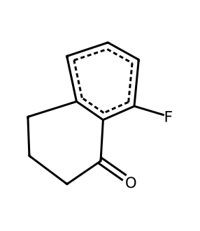 O=C1CCCc2cccc(F)c21